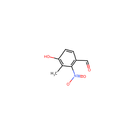 Cc1c(O)ccc(C=O)c1[N+](=O)[O-]